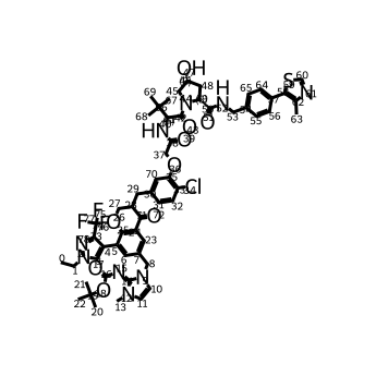 CCn1cc(-c2cc(Cn3ccn(C)c3=NC(=O)OC(C)(C)C)cc3c2OCC(Cc2ccc(Cl)c(OCC(=O)N[C@H](C(=O)N4C[C@H](O)C[C@H]4C(=O)NCc4ccc(-c5scnc5C)cc4)C(C)(C)C)c2)C3=O)c(C(F)(F)F)n1